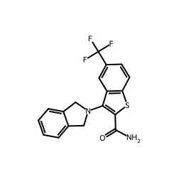 NC(=O)c1sc2ccc(C(F)(F)F)cc2c1N1Cc2ccccc2C1